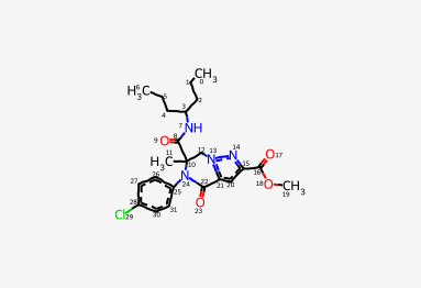 CCCC(CCC)NC(=O)C1(C)Cn2nc(C(=O)OC)cc2C(=O)N1c1ccc(Cl)cc1